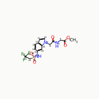 COC(=O)CNC(=O)Cn1ccc2ccc(NS(=O)(=O)CC(F)(F)F)cc21